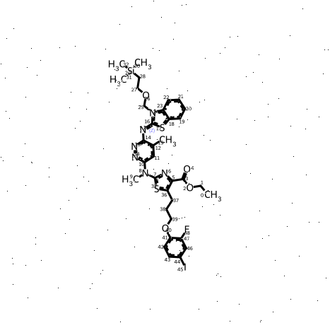 CCOC(=O)c1nc(N(C)c2cc(C)c(/N=c3\sc4ccccc4n3COCC[Si](C)(C)C)nn2)sc1CCCOc1ccc(I)cc1F